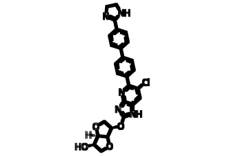 O[C@@H]1COC2[C@H](Oc3nc4nc(-c5ccc(-c6ccc(C7=NCCN7)cc6)cc5)c(Cl)cc4[nH]3)CO[C@@H]21